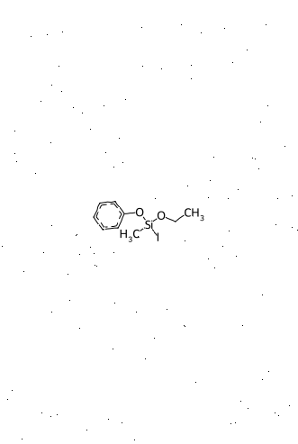 CCO[Si](C)(I)Oc1ccccc1